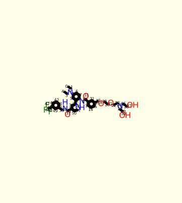 CCN(CC)c1ccc(NC(=O)c2cccc(COCCOCCN(CCO)CCO)c2)c(-c2cc(C(=O)NCc3cccc(C(F)(F)F)c3)ccn2)c1